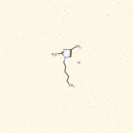 CCCCCCn1cc(C)nc1C.I